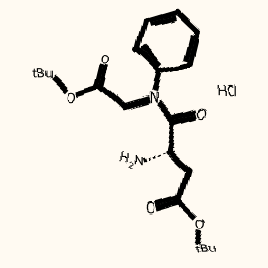 CC(C)(C)OC(=O)C[C@H](N)C(=O)N(CC(=O)OC(C)(C)C)c1ccccc1.Cl